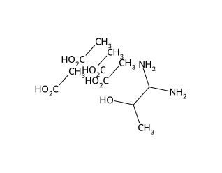 CC(=O)O.CC(=O)O.CC(=O)O.CC(=O)O.CC(O)C(N)N